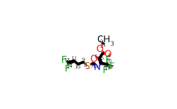 CCOC(=O)c1oc(SCCC=C(F)F)nc1C(F)(F)F